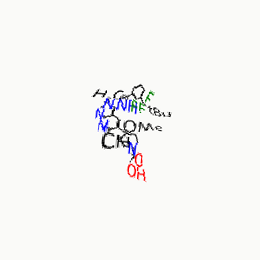 COC1(c2cc3c(N[C@H](C)c4cccc(C(F)(F)C(C)(C)C)c4F)ncnc3nc2C)CCN(C(=O)CO)CC1